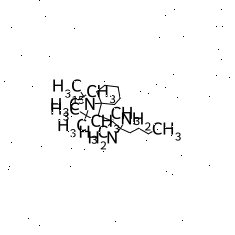 CCCCC(N)(N)C(C)(C)CC1([15N](C(C)(C)C)C(C)(C)C)CCCCC1